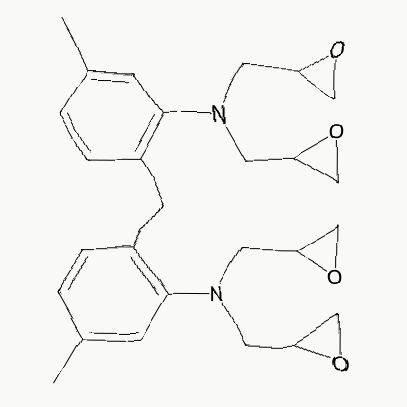 Cc1ccc(Cc2ccc(C)cc2N(CC2CO2)CC2CO2)c(N(CC2CO2)CC2CO2)c1